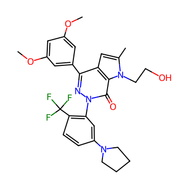 COc1cc(OC)cc(-c2nn(-c3cc(N4CCCC4)ccc3C(F)(F)F)c(=O)c3c2cc(C)n3CCO)c1